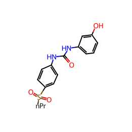 CCCS(=O)(=O)c1ccc(NC(=O)Nc2cccc(O)c2)cc1